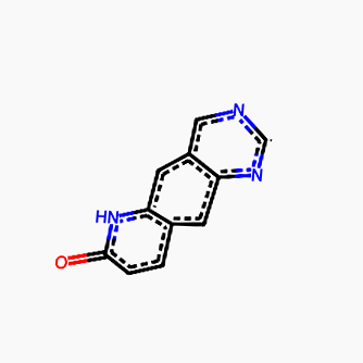 O=c1ccc2cc3n[c]ncc3cc2[nH]1